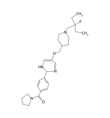 CCC(F)(CC)CN1CCC(COC2=CNC(c3ccc(C(=O)N4CCCC4)cc3)N=C2)CC1